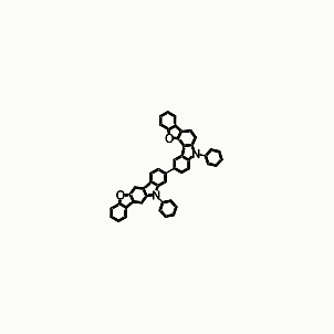 c1ccc(-n2c3cc(-c4ccc5c(c4)c4c6oc7ccccc7c6ccc4n5-c4ccccc4)ccc3c3cc4oc5ccccc5c4cc32)cc1